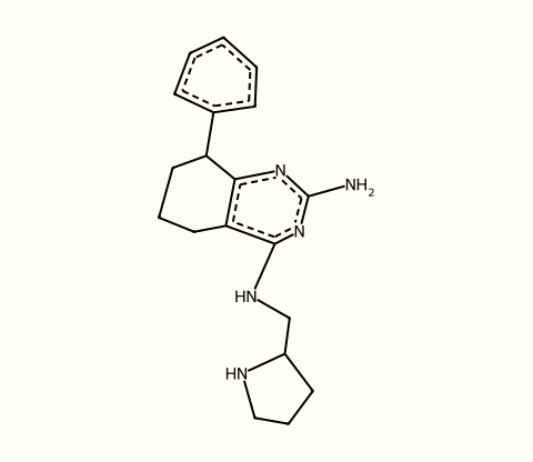 Nc1nc(NCC2CCCN2)c2c(n1)C(c1ccccc1)CCC2